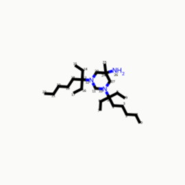 CCCCCC(CC)(CC)N1CN(C(CC)(CC)CCCCC)CC(C)(N)C1